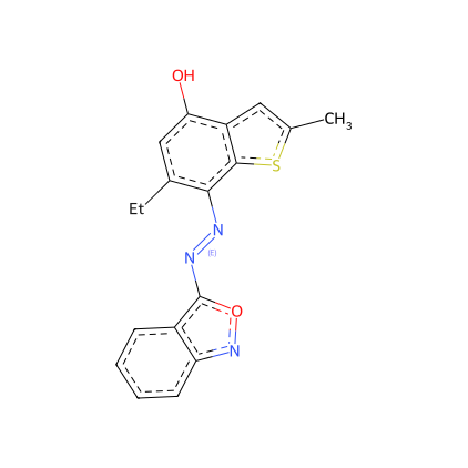 CCc1cc(O)c2cc(C)sc2c1/N=N/c1onc2ccccc12